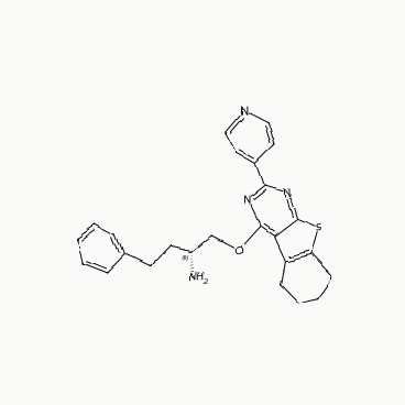 N[C@H](CCc1ccccc1)COc1nc(-c2ccncc2)nc2sc3c(c12)CCCC3